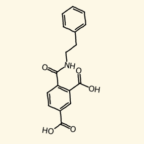 O=C(O)c1ccc(C(=O)NCCc2ccccc2)c(C(=O)O)c1